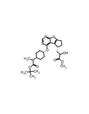 COC(=O)C(O)C[C@H]1CCc2sc3ncnc(O[C@H]4CC[C@H](N(C)C(=O)OC(C)(C)C)CC4)c3c21